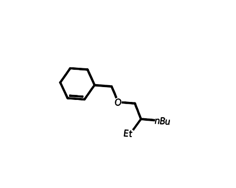 CCCCC(CC)COCC1C=CCCC1